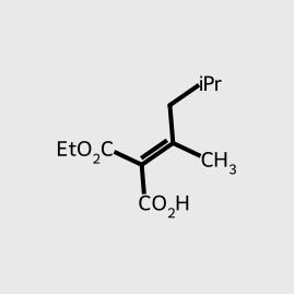 CCOC(=O)C(C(=O)O)=C(C)CC(C)C